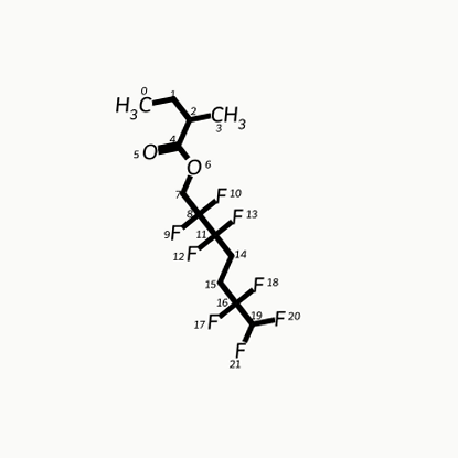 CCC(C)C(=O)OCC(F)(F)C(F)(F)CCC(F)(F)C(F)F